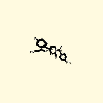 Bc1ccc([C@H](C)N2CC[C@](CCCO)(c3ccc(F)cc3)OC2=O)cc1